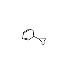 C1=CCC(C2CO2)C=C1